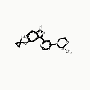 C[C@@H]1CN(c2cc(-c3n[nH]c4ccc(OC5(C)CC5)cc34)ncn2)CCO1